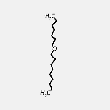 [CH2]CCCCCCOCCCCCCCCC